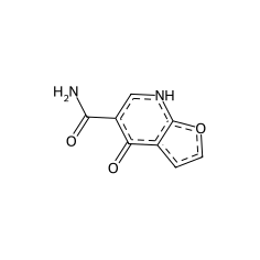 NC(=O)c1c[nH]c2occc2c1=O